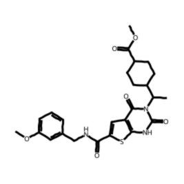 COC(=O)C1CCC(C(C)n2c(=O)[nH]c3sc(C(=O)NCc4cccc(OC)c4)cc3c2=O)CC1